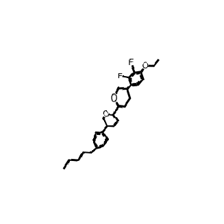 CCCCCc1ccc(C2CCC(C3CCC(c4ccc(OCC)c(F)c4F)CO3)OC2)cc1